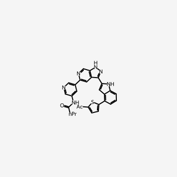 CCCC(=O)Nc1cncc(-c2cc3c(-c4cc5c(-c6ccc(C(C)=O)s6)cccc5[nH]4)n[nH]c3cn2)c1